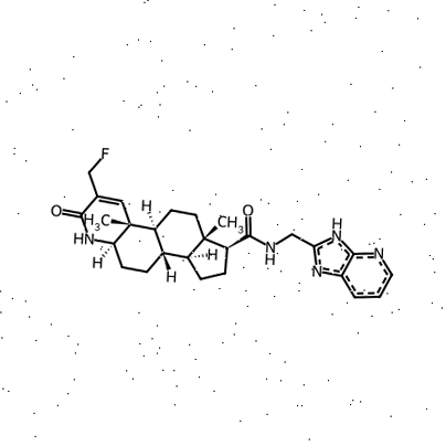 C[C@]12C=C(CF)C(=O)N[C@@H]1CC[C@@H]1[C@@H]2CC[C@]2(C)[C@@H](C(=O)NCc3nc4cccnc4[nH]3)CC[C@@H]12